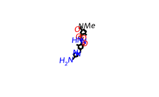 CNC(=O)c1ccc(C)c(S(=O)(=O)Nc2noc3cc(Cn4cc(CN)cn4)cc(C)c23)c1